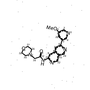 COc1cncc(-c2cc3cc(NC(=O)CN4CCOCC4)ncc3cn2)c1